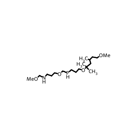 COCCC(C)CC(C)(C)OCCCPCOCCCNCOC